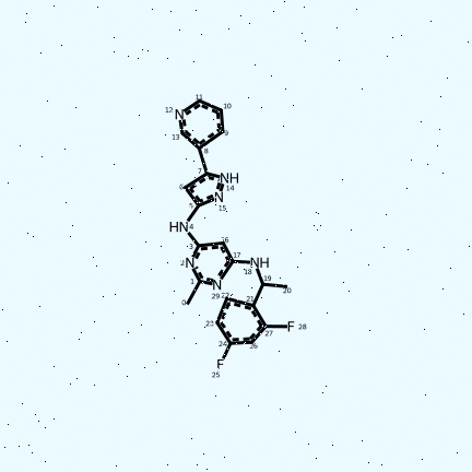 Cc1nc(Nc2cc(-c3cccnc3)[nH]n2)cc(NC(C)c2ccc(F)cc2F)n1